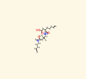 C=CCCC[C@H](CC(=O)O)C(=O)NCC(C)(C)CC(=O)N(C)CCCC=C